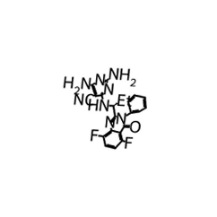 CC[C@H](Nc1nc(N)nc(N)c1C#N)c1nc2c(F)ccc(F)c2c(=O)n1-c1ccccc1